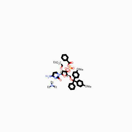 CCN(CC)CC.CCOC(=O)CO[C@H]1[C@H](n2ccc(N)nc2=O)O[C@H](COC(c2ccccc2)(c2ccc(OC)cc2)c2ccc(OC)cc2)[C@@]1(O)O[PH](=O)OC(=O)c1ccccc1